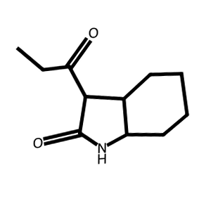 CCC(=O)C1C(=O)NC2CCCCC21